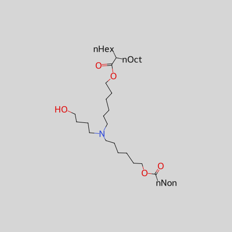 CCCCCCCCCC(=O)OCCCCCCN(CCCCO)CCCCCCOC(=O)C(CCCCCC)CCCCCCCC